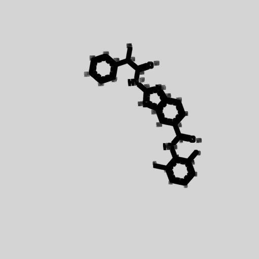 Cc1cccc(C)c1NC(=O)c1ccc2nc(NC(=O)C(C)c3ccccc3)sc2c1